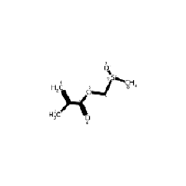 C=C(C)C(=O)OC[S+](C)[O-]